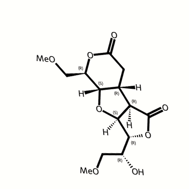 COC[C@@H](O)[C@H]1OC(=O)[C@@H]2[C@H]3CC(=O)O[C@H](COC)[C@H]3O[C@H]12